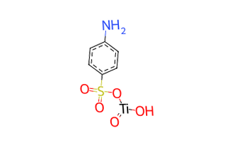 Nc1ccc(S(=O)(=O)[O][Ti](=[O])[OH])cc1